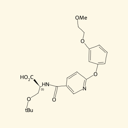 COCCOc1cccc(Oc2ccc(C(=O)N[C@@H](COC(C)(C)C)C(=O)O)cn2)c1